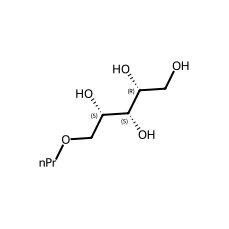 CCCOC[C@H](O)[C@@H](O)[C@H](O)CO